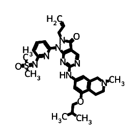 C=CCn1c(=O)c2cnc(Nc3cc4c(c(OCC(C)C)c3)CCN(C)C4)nc2n1-c1cccc(N=S(C)(C)=O)n1